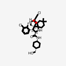 CC1(C)CCC2(CC1)N[C@@H](C(=O)N[C@H]1CC[C@@H](CO)CC1)[C@H](c1cccc(Cl)c1F)[C@]21CNc2cc(Cl)ccc21